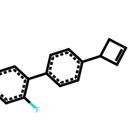 Fc1ccccc1-c1ccc(C2C=CC2)cc1